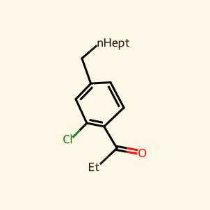 CCCCCCCCc1ccc(C(=O)CC)c(Cl)c1